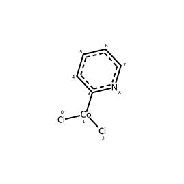 [Cl][Co]([Cl])[c]1ccccn1